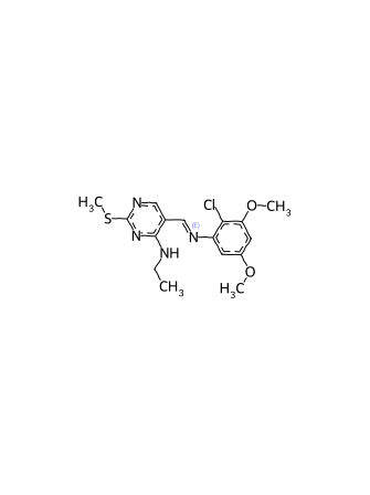 CCNc1nc(SC)ncc1/C=N/c1cc(OC)cc(OC)c1Cl